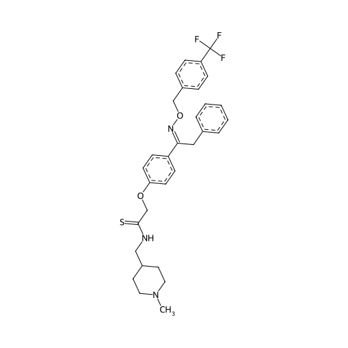 CN1CCC(CNC(=S)COc2ccc(C(Cc3ccccc3)=NOCc3ccc(C(F)(F)F)cc3)cc2)CC1